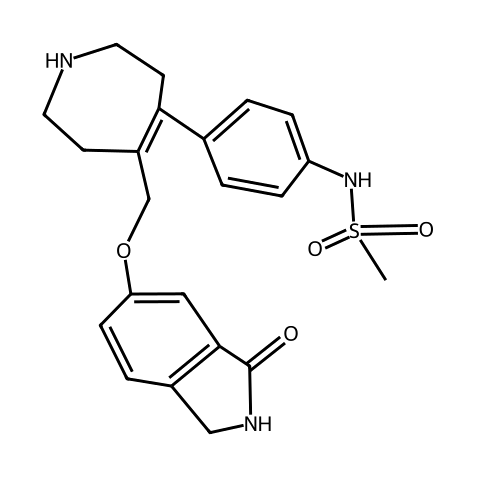 CS(=O)(=O)Nc1ccc(C2=C(COc3ccc4c(c3)C(=O)NC4)CCNCC2)cc1